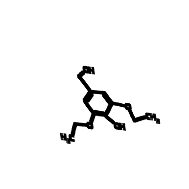 CCOc1cc(CO)cc(OCC)c1O